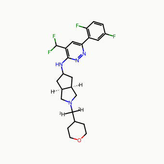 [2H]C([2H])(C1CCOCC1)N1C[C@H]2CC(Nc3nnc(-c4cc(F)ccc4F)cc3C(F)F)C[C@H]2C1